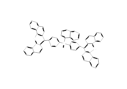 O=P(c1ccc(-c2c3ccc4ccccc4c3nc3c2ccc2ccccc23)cc1)(c1ccc(-c2c3ccc4ccccc4c3nc3c2ccc2ccccc23)cc1)c1cccc2ccccc12